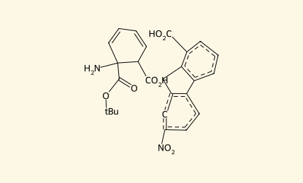 CC(C)(C)OC(=O)C1(N)C=CC=CC1C(=O)O.O=C(O)c1cccc2c1Cc1cc([N+](=O)[O-])ccc1-2